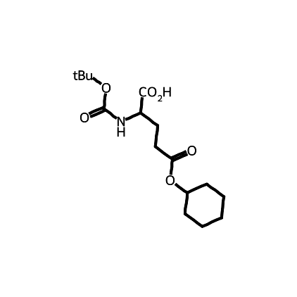 CC(C)(C)OC(=O)NC(CCC(=O)OC1CCCCC1)C(=O)O